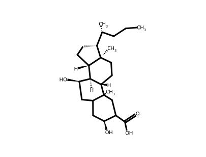 CCC[C@@H](C)[C@H]1CC[C@H]2[C@@H]3[C@H](O)CC4C[C@H](O)C(C(=O)O)C[C@]4(C)[C@H]3CC[C@]12C